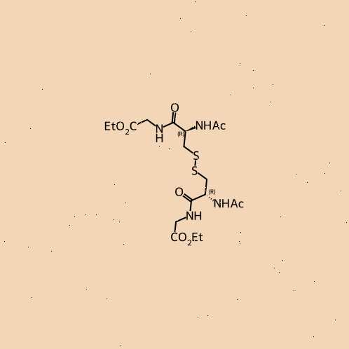 CCOC(=O)CNC(=O)[C@H](CSSC[C@H](NC(C)=O)C(=O)NCC(=O)OCC)NC(C)=O